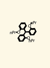 CCCOc1ccccc1[C](c1ccccc1OCCC)c1ccccc1OCCC